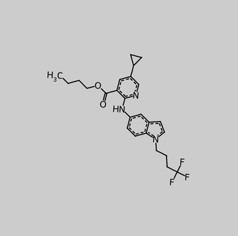 CCCCOC(=O)c1cc(C2CC2)cnc1Nc1ccc2c(ccn2CCCC(F)(F)F)c1